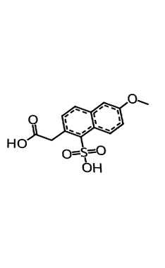 COc1ccc2c(S(=O)(=O)O)c(CC(=O)O)ccc2c1